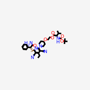 CCc1c(C#N)c(SC(C(N)=O)c2ccccc2)nc(N2CCC(OCCOC(=O)[C@@H](NC(=O)OC(C)(C)C)C(C)C)CC2)c1C#N